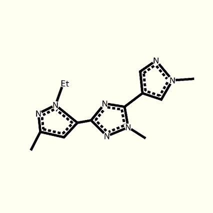 CCn1nc(C)cc1-c1nc(-c2cnn(C)c2)n(C)n1